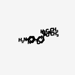 CC(C)(C)OC(=O)N1CCO[C@@H](c2ccc(N)nc2)C1